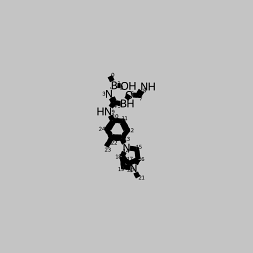 CB(O)/N=C(\BOC=N)Nc1ccc(N2CC3CC2CN3C)c(C)c1